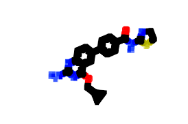 Nc1nc(OCC2CC2)c2cc(-c3ccc(C(=O)NC4=NCCS4)cc3)ccc2n1